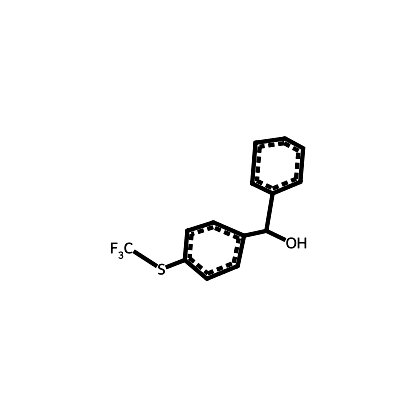 OC(c1ccccc1)c1ccc(SC(F)(F)F)cc1